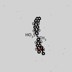 Cc1cc(N2C(=O)c3ccc4c5c(ccc(c35)C2=O)C(=O)N(c2ccccc2-n2c(-c3ccccc3)nc3ccccc32)C4=O)ccc1/C=C/c1ccc(N2C(=O)c3ccc4c5c(ccc(c35)C2=O)C(=O)N(c2ccc3ccc5cccc6ccc2c3c56)C4=O)cc1S(=O)(=O)O